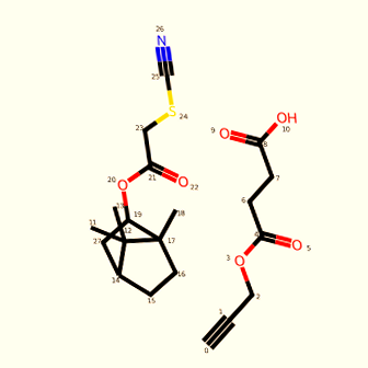 C#CCOC(=O)CCC(=O)O.CC1(C)C2CCC1(C)C(OC(=O)CSC#N)C2